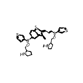 C=c1/c(=C\C=C\B(OCC2CCCN2)c2ccsc2)sc2ccc(B(OCC3CCCN3)c3ccsc3)cc12